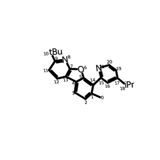 Cc1ccc2c(oc3nc(C(C)(C)C)ccc32)c1-c1cc(C(C)C)ccn1